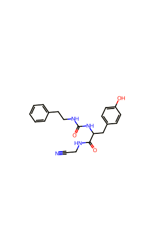 N#CCNC(=O)C(Cc1ccc(O)cc1)NC(=O)NCCc1ccccc1